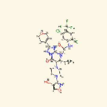 CCc1c(N2CCN(c3nocc3O)CC2)c(=O)n2nc(C3=CCOCC3)nc2n1CC(=O)Nc1cc(Cl)c(C(F)(F)F)cc1Cl